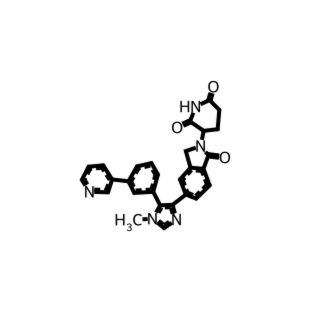 Cn1cnc(-c2ccc3c(c2)CN(C2CCC(=O)NC2=O)C3=O)c1-c1cccc(-c2cccnc2)c1